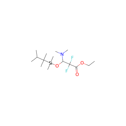 CCOC(=O)C(F)(F)C(O[Si](C)(C)C(C)(C)C(C)C)N(C)C